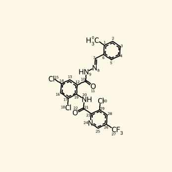 Cc1ccccc1C=NNC(=O)c1cc(Cl)cc(Cl)c1NC(=O)c1ncc(C(F)(F)F)cc1Cl